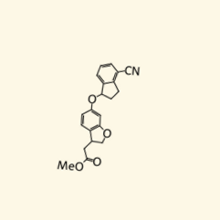 COC(=O)CC1COc2cc(OC3CCc4c(C#N)cccc43)ccc21